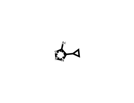 CC(=O)c1snnc1C1CC1